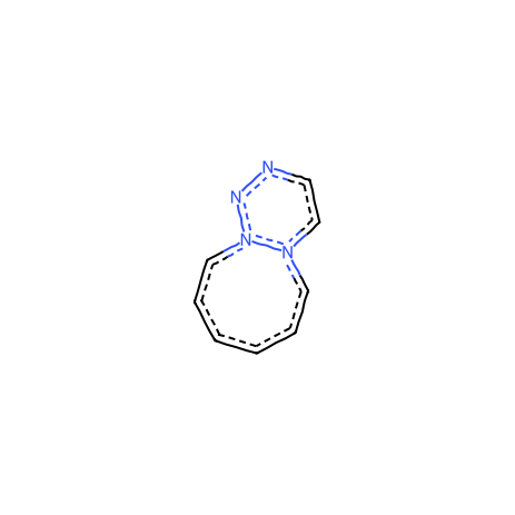 c1cccn2nnccn2cc1